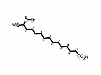 CCCCC(CCCCCCCCCCCCC(=O)O)OCC